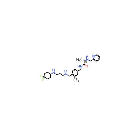 C[C@H](NCc1ccccn1)C(=O)NCc1ccc(CNCCCNC2CCC(F)(F)CC2)c(C(F)(F)F)c1